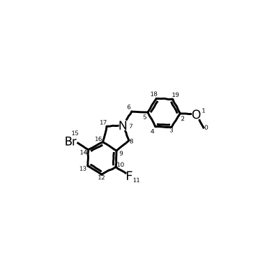 COc1ccc(CN2Cc3c(F)ccc(Br)c3C2)cc1